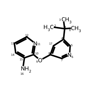 CC(C)(C)c1cncc(Oc2ncccc2N)c1